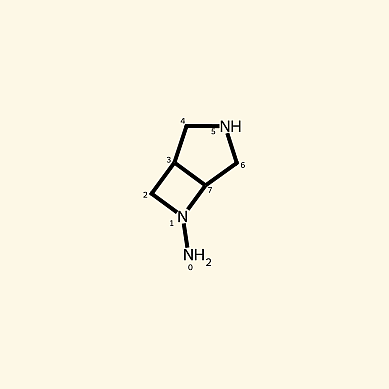 NN1CC2CNCC21